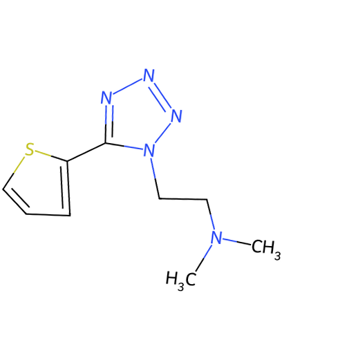 CN(C)CCn1nnnc1-c1cccs1